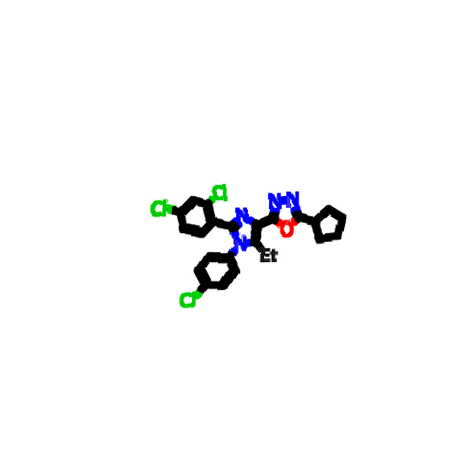 CCc1c(-c2nnc(C3CCCC3)o2)nc(-c2ccc(Cl)cc2Cl)n1-c1ccc(Cl)cc1